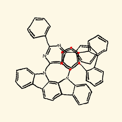 c1ccc(-c2nc(-c3ccccc3)nc(-n3c4ccccc4c4ccc5c6ccccc6n(-c6cccc(-c7ccccc7-c7ccccc7-c7ccccc7)c6)c5c43)n2)cc1